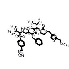 COCc1nc(CN2CCN([C@H](C(=O)N[C@@H](Cc3ccccc3)[C@H](O)CNC(C(C)C)S(=O)(=O)c3ccc(/C=N/O)cc3)C(C)C)C2=O)cs1